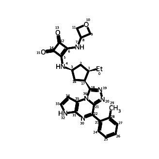 CC[C@@H]1C[C@H](Nc2c(NC3COC3)c(=O)c2=O)C[C@@H]1c1nnc2c(-c3ccccc3C)nc3[nH]ccc3n12